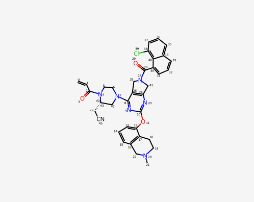 C=CC(=O)N1CCN(c2nc(Oc3cccc4c3CCN(C)C4)nc3c2CN(C(=O)c2cccc4cccc(Cl)c24)C3)C[C@@H]1CC#N